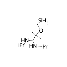 CC(C)NC(NC(C)C)C(C)(C)OC[SiH3]